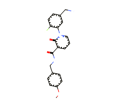 COc1ccc(CNC(=O)c2cccn(-c3cc(CN)ccc3F)c2=O)cc1